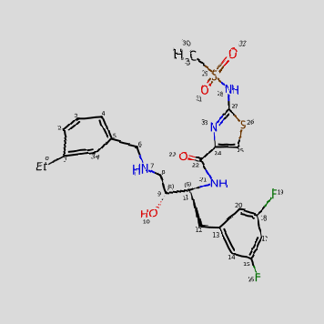 CCc1cccc(CNC[C@@H](O)[C@H](Cc2cc(F)cc(F)c2)NC(=O)c2csc(NS(C)(=O)=O)n2)c1